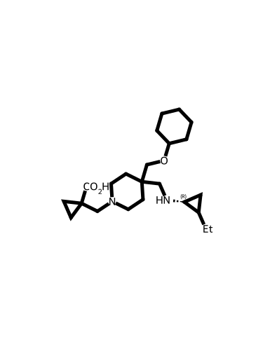 CCC1C[C@H]1NCC1(COC2CCCCC2)CCN(CC2(C(=O)O)CC2)CC1